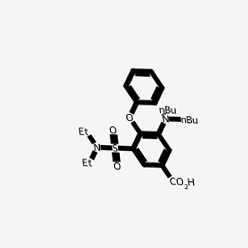 CCCCN(CCCC)c1cc(C(=O)O)cc(S(=O)(=O)N(CC)CC)c1Oc1ccccc1